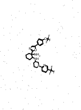 NC1(c2ncc(-c3ccc(OC(F)(F)F)cc3)o2)CCCCC1NC1CCCN(c2ccc(C(F)(F)F)cn2)C1